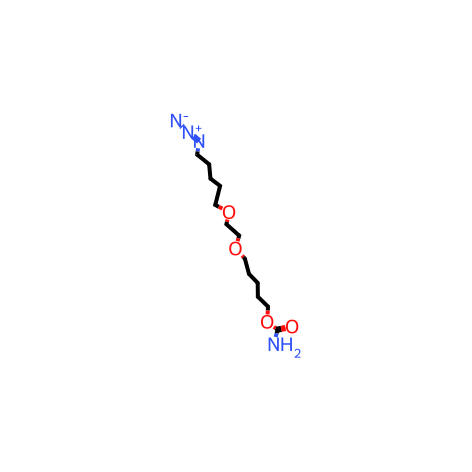 [N-]=[N+]=NCCCCCOCCOCCCCCOC(N)=O